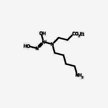 CCOC(=O)CCN(CCCCN)/[N+](O)=N/O